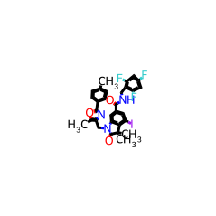 Cc1ccc(-c2nc(CN3C(=O)C(C)(C)c4c(I)cc(C(=O)NCc5c(F)cc(F)cc5F)cc43)c(C)o2)cc1